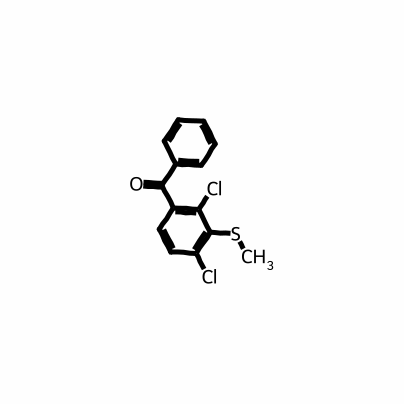 CSc1c(Cl)ccc(C(=O)c2ccccc2)c1Cl